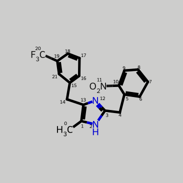 Cc1[nH]c(Cc2ccccc2[N+](=O)[O-])nc1Cc1cccc(C(F)(F)F)c1